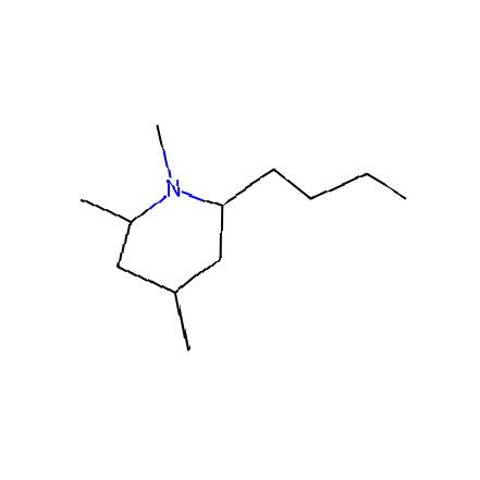 CCCCC1CC(C)CC(C)N1C